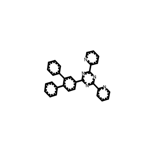 c1ccc(-c2ccc(-c3nc(-c4ccccn4)nc(-c4ccccn4)n3)cc2-c2ccccc2)cc1